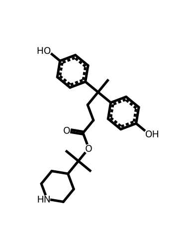 CC(CCC(=O)OC(C)(C)C1CCNCC1)(c1ccc(O)cc1)c1ccc(O)cc1